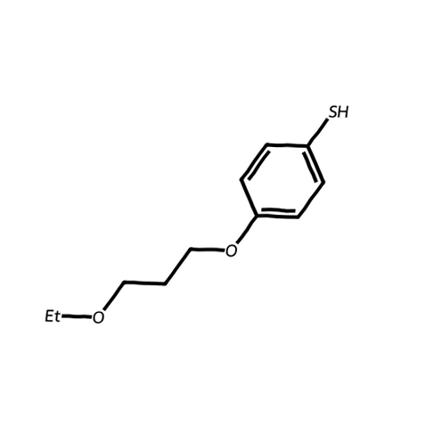 CCOCCCOc1ccc(S)cc1